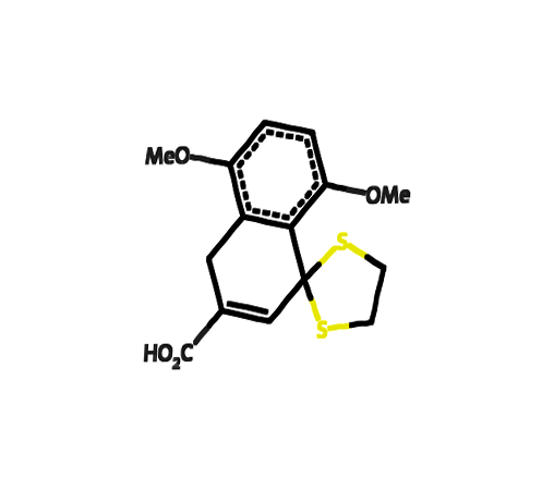 COc1ccc(OC)c2c1CC(C(=O)O)=CC21SCCS1